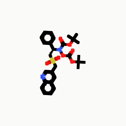 CC(C)(C)OC(=O)ON(C(=O)OC(C)(C)C)[C@H](CS(=O)(=O)Cc1cnc2ccccc2c1)c1ccccc1